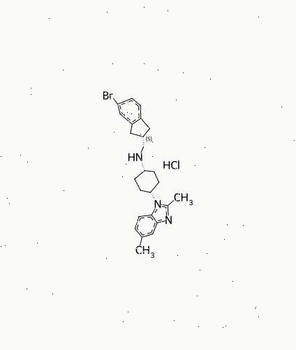 Cc1ccc2c(c1)nc(C)n2[C@H]1CC[C@@H](NC[C@H]2Cc3ccc(Br)cc3C2)CC1.Cl